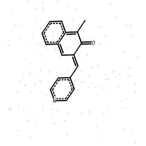 CC1=c2ccccc2=CC(=Cc2ccncc2)C1=O